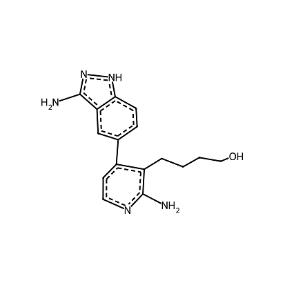 Nc1nccc(-c2ccc3[nH]nc(N)c3c2)c1CCCCO